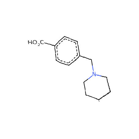 O=C(O)c1ccc(CN2CC[CH]CC2)cc1